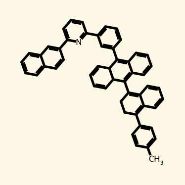 Cc1ccc(C2=c3ccccc3=C(C3=c4ccccc4=C(c4cccc(-c5cccc(-c6ccc7ccccc7c6)n5)c4)C4C=CC=CC34)CC2)cc1